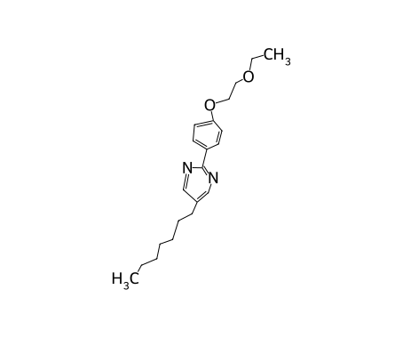 CCCCCCCc1cnc(-c2ccc(OCCOCC)cc2)nc1